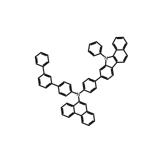 c1ccc(-c2cccc(-c3ccc(N(c4ccc(-c5ccc6c7ccc8ccccc8c7n(-c7ccccc7)c6c5)cc4)c4cc5ccccc5c5ccccc45)cc3)c2)cc1